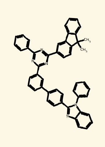 CC1(C)c2ccccc2-c2cc(-c3nc(-c4ccccc4)nc(-c4cccc(-c5ccc(-c6nc7ccccc7n6-c6ccccc6)cc5)c4)n3)ccc21